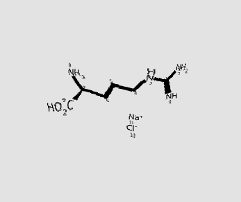 N=C(N)NCCC[C@H](N)C(=O)O.[Cl-].[Na+]